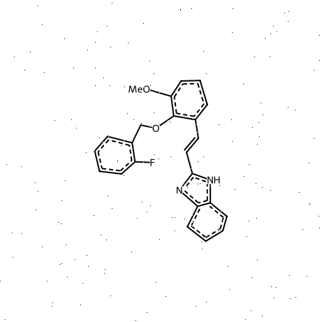 COc1cccc(/C=C/c2nc3ccccc3[nH]2)c1OCc1ccccc1F